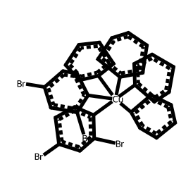 Brc1cc[c]([Cu]([c]2ccccc2)([c]2ccccc2)([c]2ccccc2)([c]2ccccc2)[c]2ccc(Br)cc2Br)c(Br)c1